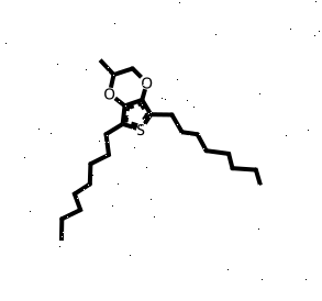 CCCCCCCCc1sc(CCCCCCCC)c2c1OCC(C)O2